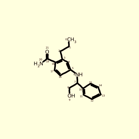 CCCc1cc(NC(CO)c2ccccc2)ccc1C(N)=O